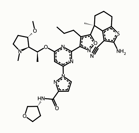 CCCc1c(-c2nc(O[C@@H](C)[C@@H]3[C@@H](OC)CCN3C)cc(-n3ccc(C(=O)N[C@@H]4CCOC4)n3)n2)noc1[C@@]1(C)CCCc2sc(N)c(C#N)c21